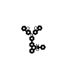 c1ccc(-c2nc3c4cc(-c5ccc(N(c6ccc7c(c6)oc6ccccc67)c6ccc7c(c6)oc6ccccc67)cc5)ccc4c4ccccc4c3o2)cc1